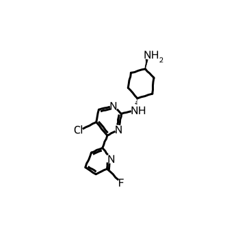 N[C@H]1CC[C@H](Nc2ncc(Cl)c(-c3cccc(F)n3)n2)CC1